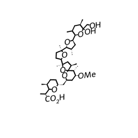 CO[C@@H]1C[C@@H](C[C@H]2CC[C@H](C)C([C@@H](C)C(=O)O)O2)O[C@]2(O[C@@](C)(C3CC[C@@](C)([C@@H]4O[C@@H]([C@@H]5O[C@@](O)(CO)[C@H](C)CC5C)C[C@@H]4C)O3)C[C@H]2C)[C@@H]1C